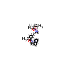 Cc1ccc(CCC2CCN2C(=O)OC(C)(C)C)cc1C(=O)NC1(c2cccc3ccccc23)CC1